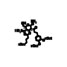 CCCCCCCCCCCCCC(=O)O[C@H]1[C@H](OS(=O)(=O)O)[C@@H](CO)OC(ON)[C@@H]1C(=O)CCc1ccc(OCCCCCCCC)c(OCCCCCCCC)c1